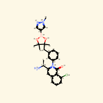 C[C@H](N)c1cc2cccc(Cl)c2c(=O)n1-c1cccc(CC2(C)OB(c3cnn(C)c3)OC2(C)C)c1